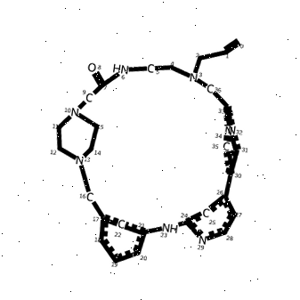 C=CCN1CCNC(=O)CN2CCN(CC2)Cc2cccc(c2)Nc2cc(ccn2)-c2cnc(nc2)C1